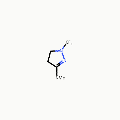 CNC1=NN(C(F)(F)F)CC1